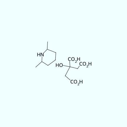 CC1CCCC(C)N1.O=C(O)CC(O)(CC(=O)O)C(=O)O